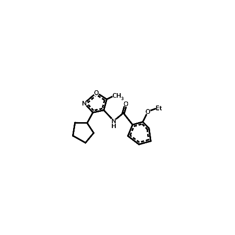 CCOc1ccccc1C(=O)Nc1c(C2CCCC2)noc1C